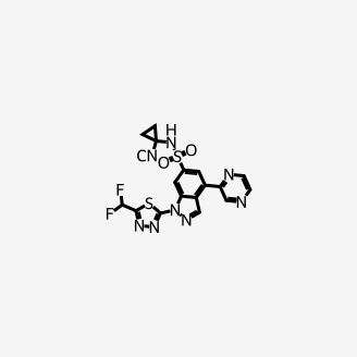 N#CC1(NS(=O)(=O)c2cc(-c3cnccn3)c3cnn(-c4nnc(C(F)F)s4)c3c2)CC1